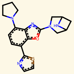 c1csc(-c2ccc(N3CCCC3)c3nc(N4CC5CC(C4)N5)oc23)n1